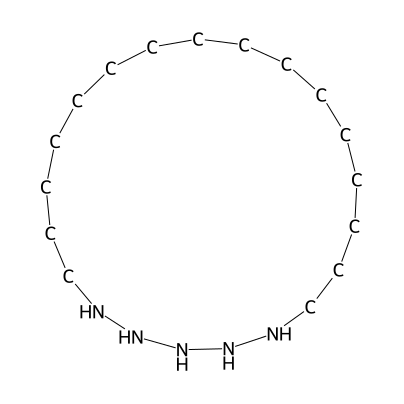 C1CCCCCCCCNNNNNCCCCCCC1